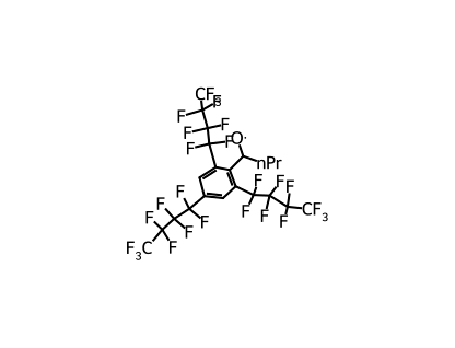 CCCC([O])c1c(C(F)(F)C(F)(F)C(F)(F)C(F)(F)F)cc(C(F)(F)C(F)(F)C(F)(F)C(F)(F)F)cc1C(F)(F)C(F)(F)C(F)(F)C(F)(F)F